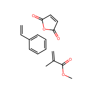 C=C(C)C(=O)OC.C=Cc1ccccc1.O=C1C=CC(=O)O1